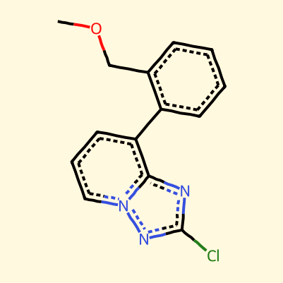 COCc1ccccc1-c1cccn2nc(Cl)nc12